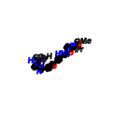 COC(=O)N[C@H](C(=O)N1CCCC1c1ncc(-c2ccc(-c3cc4cc(-c5cnc([C@@H]6CCCN6C(=O)[C@H](NC(=O)O)C(C)C)[nH]5)ccc4o3)cc2)[nH]1)C(C)C